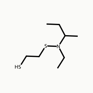 CCC(C)N(CC)SCCS